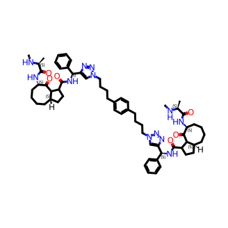 CN[C@@H](C)C(=O)N[C@H]1CCCC[C@H]2CCC(C(=O)N[C@@H](c3ccccc3)c3cn(CCCCc4ccc(CCCCn5cc([C@@H](NC(=O)C6CC[C@@H]7CCCC[C@H](NC(=O)[C@H](C)NC)C(=O)C67)c6ccccc6)nn5)cc4)nn3)C2C1=O